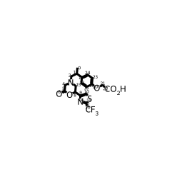 CC(CN1CC(=O)OC(c2csc(C(F)(F)F)n2)C1)c1ccc(OCC(=O)O)cc1